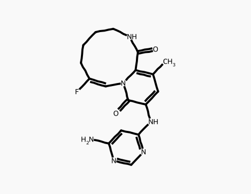 Cc1cc(Nc2cc(N)ncn2)c(=O)n2c1C(=O)NCCCC/C(F)=C\2